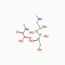 CNC[C@H](O)[C@@H](O)[C@H](O)[C@H](O)CO.O=C(O)C(=O)NI